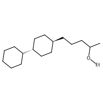 CCOC(C)CCC[C@H]1CC[C@H](C2CCCCC2)CC1